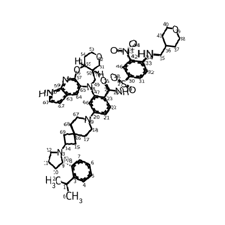 CC(C)c1ccccc1[C@@H]1CCCN1C1CC2(CCN(c3ccc(C(=O)NS(=O)(=O)c4ccc(NCC5CCOCC5)c([N+](=O)[O-])c4)c(N4C[C@H]5COCC[C@H]5Oc5nc6[nH]ccc6cc54)c3)CC2)C1